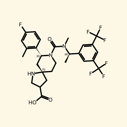 Cc1cc(F)ccc1[C@H]1C[C@@]2(CCN1C(=O)N(C)[C@H](C)c1cc(C(F)(F)F)cc(C(F)(F)F)c1)CC(C(=O)O)CN2